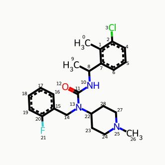 Cc1c(Cl)cccc1C(C)NC(=O)N(Cc1ccccc1F)C1CCN(C)CC1